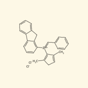 CC1=CCC(C)=[C]1[Zr+2](=[CH]c1ccccc1)[c]1cccc2c1Cc1ccccc1-2.[Cl-].[Cl-]